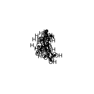 CSCC[C@H](NC(=O)[C@H](CC(C)C)NC(=O)[C@H](Cc1c[nH]cn1)NC(=O)CNC(=O)[C@@H](NC(=O)[C@H](C)NC(=O)[C@H](Cc1c[nH]c2ccccc12)NC(=O)[C@H](Cc1c[nH]cn1)NC(=O)c1ccc(NC(=O)CNC(=O)CN2CCN(CC(=O)O)CCN(CC(=O)O)CCN(CC(=O)O)CC2)cc1)C(C)C)C(N)=O